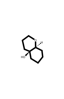 O[C@]12CCCC[C@@H]1OCCC2